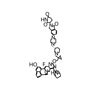 C#Cc1cccc2cc(O)cc(-c3ncc4c(N5CC6CCC(C5)N6)nc(OCC5(CN6CCC[C@@H](CN7CCN(c8ccc9c(c8)CN([C@H]8CCC(=O)NC8=O)C9=O)CC7)C6)CC5)nc4c3F)c12